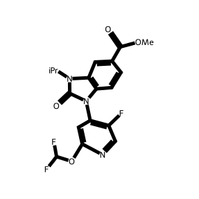 COC(=O)c1ccc2c(c1)n(C(C)C)c(=O)n2-c1cc(OC(F)F)ncc1F